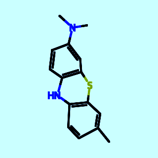 Cc1ccc2c(c1)Sc1cc(N(C)C)ccc1N2